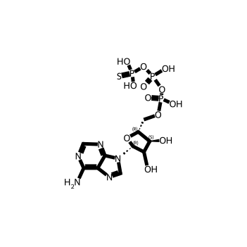 Nc1ncnc2c1ncn2[C@@H]1O[C@H](COP(=O)(O)OP(=O)(O)OP(O)(O)=S)[C@@H](O)C1O